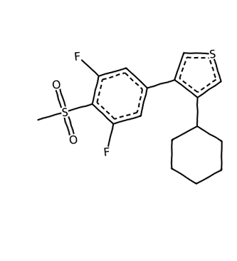 CS(=O)(=O)c1c(F)cc(-c2cscc2C2CCCCC2)cc1F